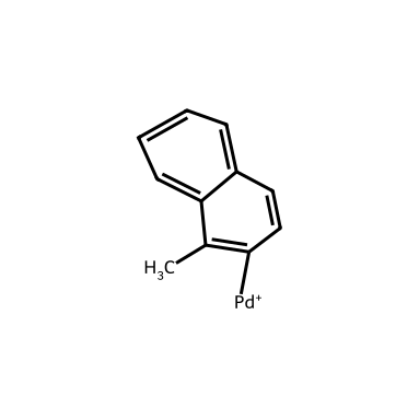 Cc1[c]([Pd+])ccc2ccccc12